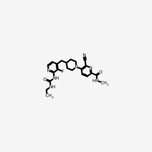 CCNC(=O)Nc1nccc(CC2CCN(c3ccc(C(=O)NC)nc3C#N)CC2)c1F